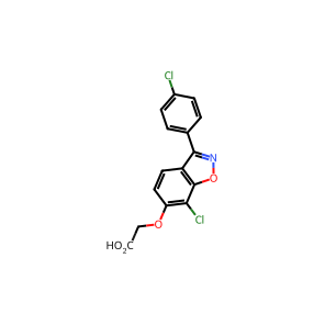 O=C(O)COc1ccc2c(-c3ccc(Cl)cc3)noc2c1Cl